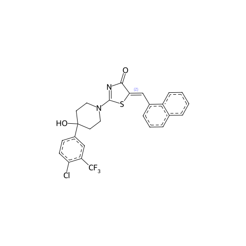 O=C1N=C(N2CCC(O)(c3ccc(Cl)c(C(F)(F)F)c3)CC2)S/C1=C\c1cccc2ccccc12